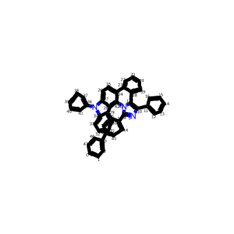 c1ccc(-c2ccc(-c3nc(-c4ccccc4)c4c5ccccc5c5ccc6c(c7ccccc7n6-c6ccccc6)c5n34)cc2)cc1